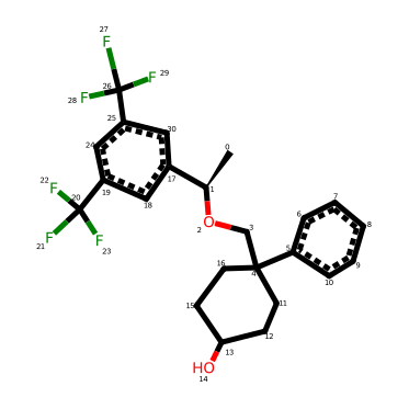 C[C@@H](OCC1(c2ccccc2)CCC(O)CC1)c1cc(C(F)(F)F)cc(C(F)(F)F)c1